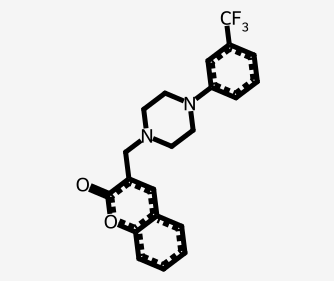 O=c1oc2ccccc2cc1CN1CCN(c2cccc(C(F)(F)F)c2)CC1